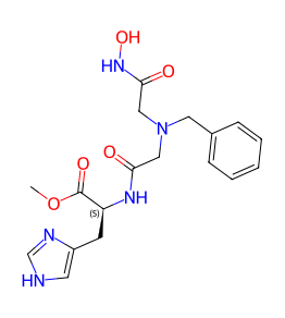 COC(=O)[C@H](Cc1c[nH]cn1)NC(=O)CN(CC(=O)NO)Cc1ccccc1